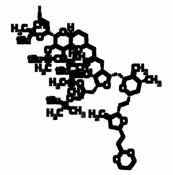 C=C1C[C@H](CCC2OCCCO2)O[C@H]1CC[C@H]1C[C@@H](C)C(=C)[C@@H](C[C@@H]2O[C@H](C[C@@H](CO[Si](C)(C)C(C)(C)C)O[Si](C)(C)C(C)(C)C)[C@H](OC)[C@H]2CC(=O)CC2CC[C@@H]3O[C@@H](C(/C=C/I)O[Si](C)(C)C(C)(C)C)C(O[Si](C)(C)C(C)(C)C)C(O[Si](C)(C)C(C)(C)C)[C@H]3O2)O1